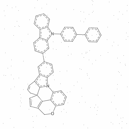 C1=Cc2c3n(c4ccc(-c5ccc6c7ccccc7n(-c7ccc(-c8ccccc8)cc7)c6c5)cc24)-c2cccc4c2C2=C(C=CC23C1)CO4